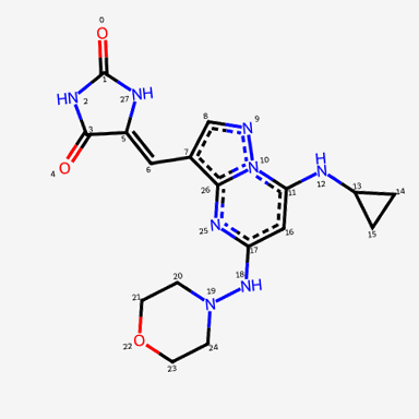 O=C1NC(=O)/C(=C/c2cnn3c(NC4CC4)cc(NN4CCOCC4)nc23)N1